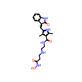 Cc1[nH]c(/C=C2\C(=O)Nc3ccccc32)c(C)c1C(=O)NCCNCCC(=O)NO